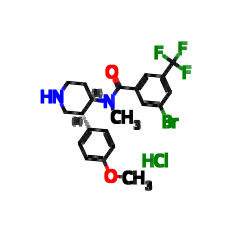 COc1ccc([C@@H]2CNCC[C@H]2N(C)C(=O)c2cc(Br)cc(C(F)(F)F)c2)cc1.Cl